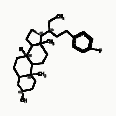 CC[C@H](CCc1ccc(F)cc1)[C@H]1CCC2[C@@H]3CCC4C[C@@H](O)CC[C@]4(C)C3CCC21C